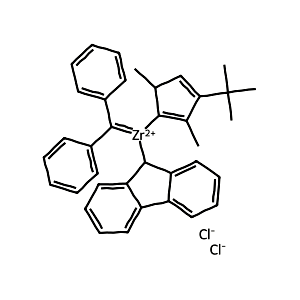 CC1=[C]([Zr+2](=[C](c2ccccc2)c2ccccc2)[CH]2c3ccccc3-c3ccccc32)C(C)C=C1C(C)(C)C.[Cl-].[Cl-]